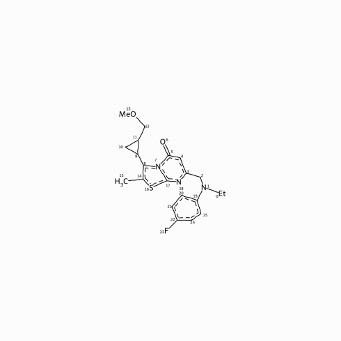 CCN(Cc1cc(=O)n2c(C3CC3COC)c(C)sc2n1)c1ccc(F)cc1